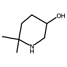 CC1(C)CCC(O)CN1